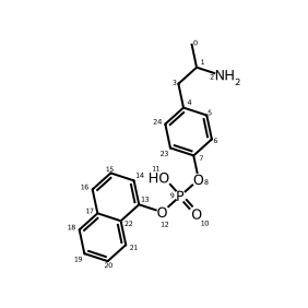 CC(N)Cc1ccc(OP(=O)(O)Oc2cccc3ccccc23)cc1